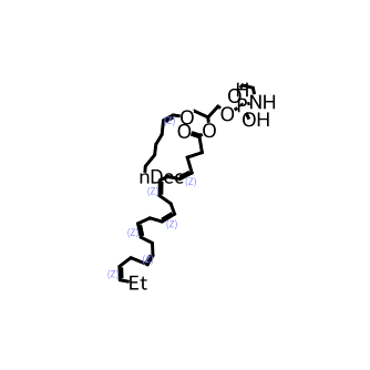 CC/C=C\C/C=C\C/C=C\C/C=C\C/C=C\C/C=C\CCC(=O)OC(CO/C=C\CCCCCCCCCCCCCC)CO[PH]1(O)NCCO1